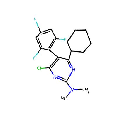 CN(C#N)c1nc(Cl)c(-c2c(F)cc(F)cc2F)c(C2CCCCC2)n1